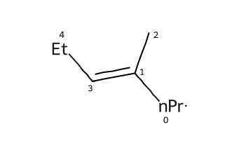 CC[CH]C(C)=CCC